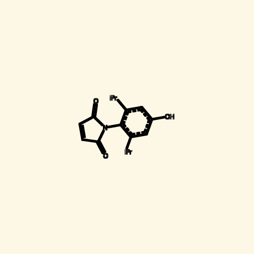 CC(C)c1cc(O)cc(C(C)C)c1N1C(=O)C=CC1=O